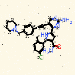 Cc1ccc(Cl)cc1-c1[nH]c(-c2nc(N)ncc2C#Cc2ccc(CN3CCCCC3)cc2)cc1C(N)=O